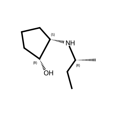 CC[C@@H](C)N[C@H]1CCC[C@H]1O